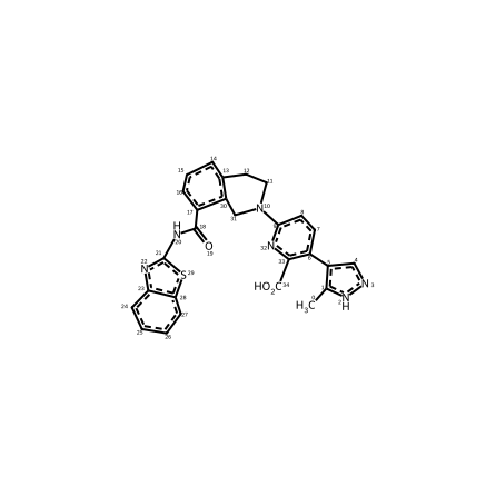 Cc1[nH]ncc1-c1ccc(N2CCc3cccc(C(=O)Nc4nc5ccccc5s4)c3C2)nc1C(=O)O